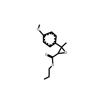 CCCOC(=O)C1OC1(C)c1ccc(OC)cc1